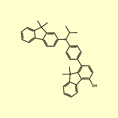 CC(C)N(c1ccc(-c2ccc(O)c3c2C(C)(C)c2ccccc2-3)cc1)c1ccc2c(c1)C(C)(C)c1ccccc1-2